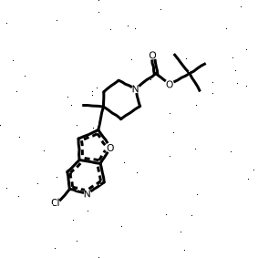 CC(C)(C)OC(=O)N1CCC(C)(c2cc3cc(Cl)ncc3o2)CC1